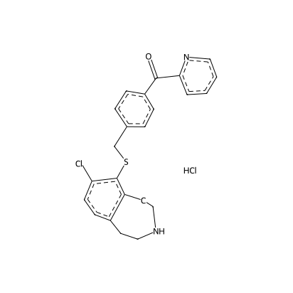 Cl.O=C(c1ccc(CSc2c(Cl)ccc3c2CCNCC3)cc1)c1ccccn1